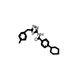 Cc1ccc(Cc2nnc(NC(=O)c3ccc(C4CC[CH]CC4)cc3)s2)cc1